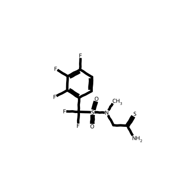 CN(CC(N)=S)S(=O)(=O)C(F)(F)c1ccc(F)c(F)c1F